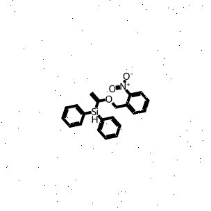 C=C(OCc1ccccc1[N+](=O)[O-])[SiH](c1ccccc1)c1ccccc1